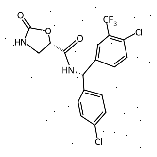 O=C1NC[C@@H](C(=O)N[C@@H](c2ccc(Cl)cc2)c2ccc(Cl)c(C(F)(F)F)c2)O1